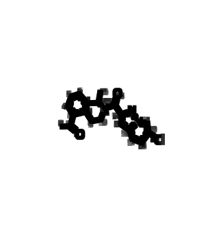 CC(=O)c1cccc2c1CCN(C(=O)c1cc3ccc(Cl)cn3n1)C2C